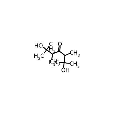 CC(C(=O)C(C)C(C)(C)O)C(C)(C)O